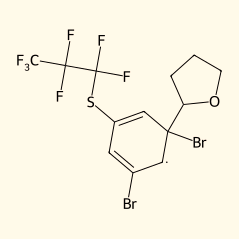 FC(F)(F)C(F)(F)C(F)(F)SC1=CC(Br)(C2CCCO2)[CH]C(Br)=C1